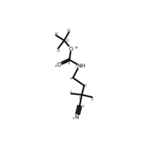 CC(C)(C#N)CCNC(=O)OC(C)(C)C